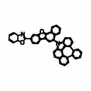 C1=CC2N=C(c3ccc4c(c3)oc3c5ccccc5c(-n5c6cccc7c6c6c8c(cccc8ccc65)-c5ccccc5-7)cc43)OC2C=C1